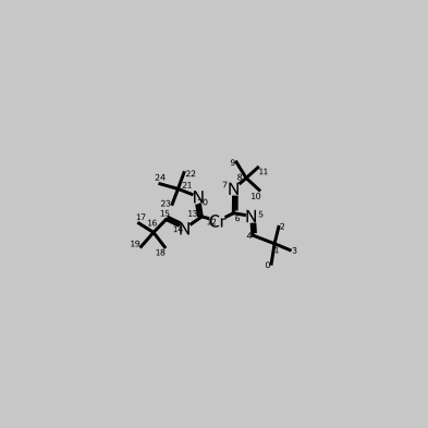 CC(C)(C)C=N[C](=NC(C)(C)C)[Cr][C](N=CC(C)(C)C)=NC(C)(C)C